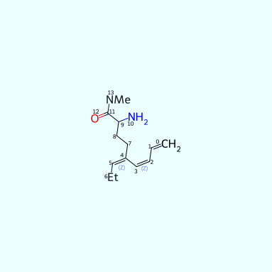 C=C/C=C\C(=C/CC)CCC(N)C(=O)NC